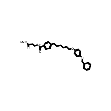 COC(=O)CCNC(=O)c1ccc(CCCCCCOc2ccc(OCc3ccccc3)cc2)cc1